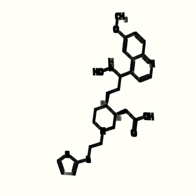 COc1ccc2nccc(C(CC[C@@H]3CCN(CCSc4cccs4)C[C@@H]3CC(=O)O)NO)c2c1